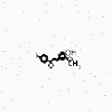 COc1cc(C=CC(=O)c2ccc(I)cc2)ccc1O